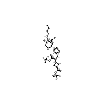 CCCCON1C(=O)N2C[C@H]1CC[C@H]2c1nnc(CN(C(=O)OC(C)(C)C)C2CN(C(=O)OC(C)(C)C)C2)o1